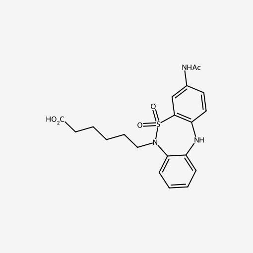 CC(=O)Nc1ccc2c(c1)S(=O)(=O)N(CCCCCC(=O)O)c1ccccc1N2